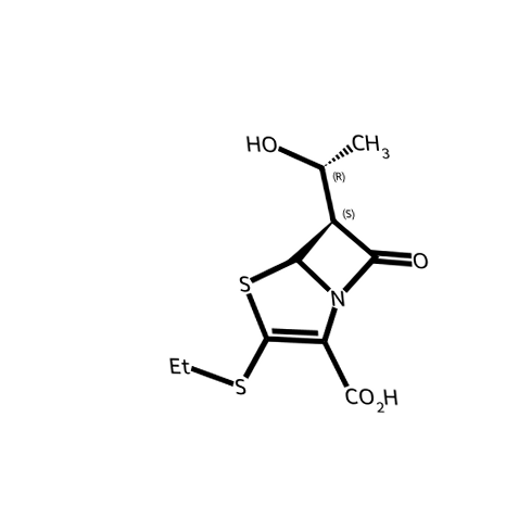 CCSC1=C(C(=O)O)N2C(=O)[C@H]([C@@H](C)O)C2S1